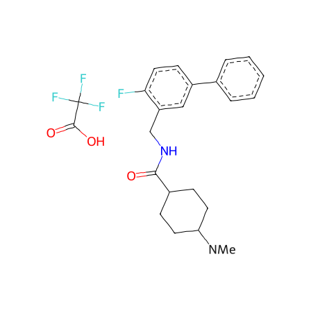 CNC1CCC(C(=O)NCc2cc(-c3ccccc3)ccc2F)CC1.O=C(O)C(F)(F)F